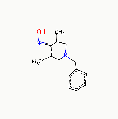 CC1CN(Cc2ccccc2)CC(C)C1=NO